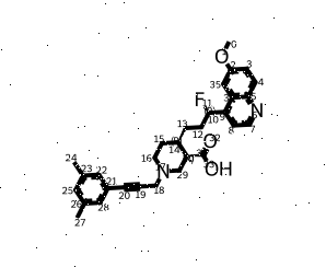 COc1ccc2nccc([C@H](F)CC[C@@H]3CCN(CC#Cc4cc(C)cc(C)c4)C[C@@H]3C(=O)O)c2c1